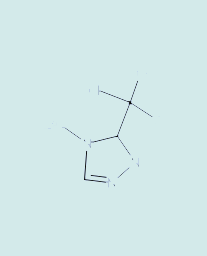 CC(C)(C)N1C=NNC1C(Cl)(Cl)C(Cl)(Cl)Cl